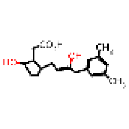 Cc1cc(C)cc(C/C(O)=C/CC2CCC(O)C2CC(=O)O)c1